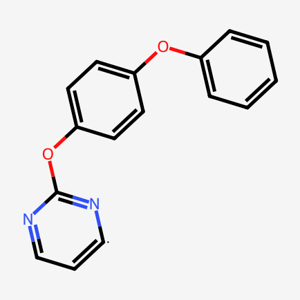 [c]1ccnc(Oc2ccc(Oc3ccccc3)cc2)n1